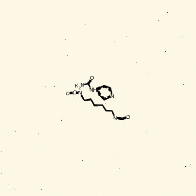 NC(N)=O.O=C=NCCCCCCN=C=O.c1ccncc1